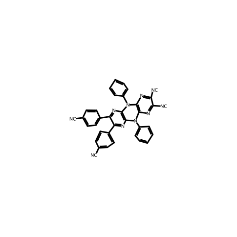 [C-]#[N+]c1nc2c(nc1[N+]#[C-])N(c1ccccc1)c1nc(-c3ccc(C#N)cc3)c(-c3ccc(C#N)cc3)nc1N2c1ccccc1